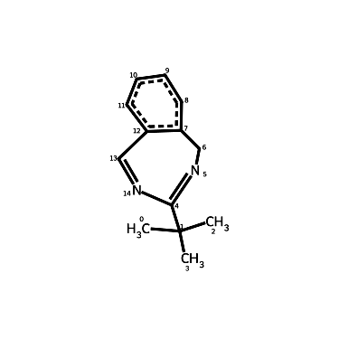 CC(C)(C)C1=NCc2ccccc2C=N1